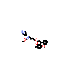 CCOC(=O)N(CCCCOC(=O)CC(c1ccccc1)c1cc(C)ccc1OC)C1C2CNCC21